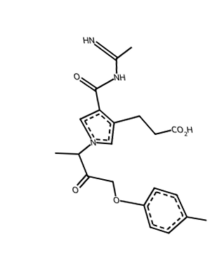 CC(=N)NC(=O)c1cn(C(C)C(=O)COc2ccc(C)cc2)cc1CCC(=O)O